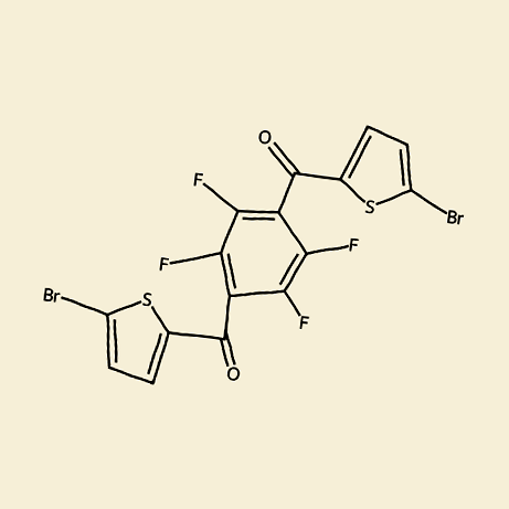 O=C(c1ccc(Br)s1)c1c(F)c(F)c(C(=O)c2ccc(Br)s2)c(F)c1F